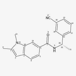 Cc1cc2ccc(C(=O)N[C@@H](C)c3cccc(C#N)c3)cc2n1C